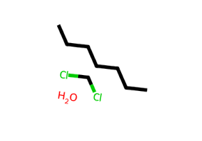 CCCCCCC.ClCCl.O